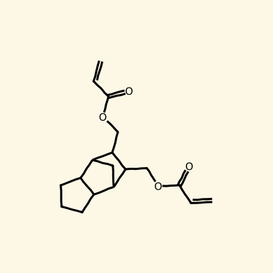 C=CC(=O)OCC1C(COC(=O)C=C)C2CC1C1CCCC12